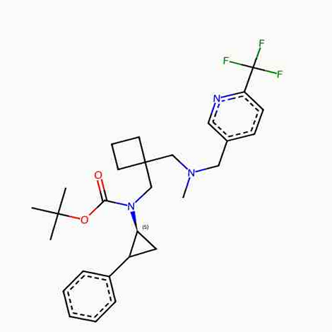 CN(Cc1ccc(C(F)(F)F)nc1)CC1(CN(C(=O)OC(C)(C)C)[C@H]2CC2c2ccccc2)CCC1